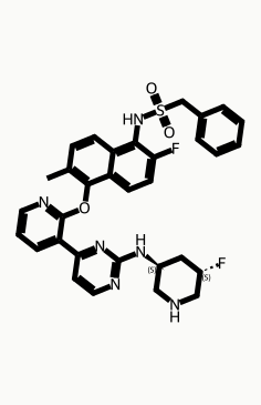 Cc1ccc2c(NS(=O)(=O)Cc3ccccc3)c(F)ccc2c1Oc1ncccc1-c1ccnc(N[C@@H]2CNC[C@@H](F)C2)n1